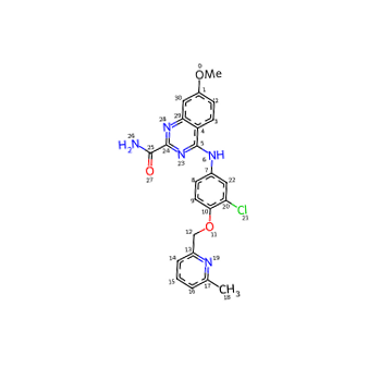 COc1[c]cc2c(Nc3ccc(OCc4cccc(C)n4)c(Cl)c3)nc(C(N)=O)nc2c1